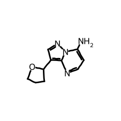 Nc1ccnc2c(C3CCCO3)cnn12